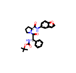 CC(C)(C)OC(=O)N[C@H](C(=O)N1CCC[C@H]1C(=O)Nc1ccc2occc2c1)c1ccccc1